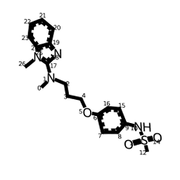 CN(CCCOc1ccc(NS(C)(=O)=O)cc1)c1nc2ccccc2n1C